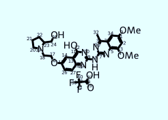 COc1cc(OC)c2nc(Nc3nc(O)c4cc(OCCN5CCCC5CO)ccc4n3)nc(C)c2c1.O=C(O)C(F)(F)F